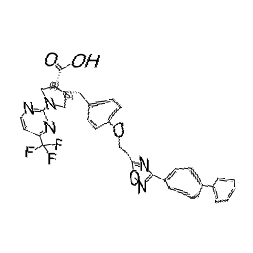 O=C(O)[C@H]1CN(c2nccc(C(F)(F)F)n2)C[C@H]1Cc1ccc(OCc2nc(-c3ccc(-c4ccccc4)cc3)no2)cc1